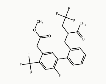 COC(=O)Cc1cc(-c2ccccc2CN(CC(F)(F)F)C(C)=O)c(F)cc1C(F)(F)F